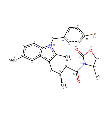 COc1ccc2c(c1)c(C[C@H](C)CC(=O)N1C(=O)OCC1C(C)C)c(C)n2Cc1ccc(Br)cc1